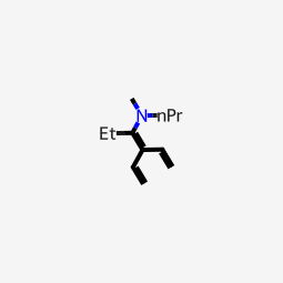 C=CC(C=C)=C(CC)N(C)CCC